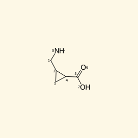 [NH]CC1CC1C(=O)O